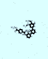 COC(=O)c1ccc(C(=O)Nc2cccc(-c3cccc(-c4cc(F)c(CN)c(OC)c4)c3C)c2C)nc1